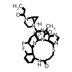 C=CC(=O)N1CCN(c2nc(=O)n3c4nc(c(F)cc24)-c2c(F)cccc2NC(=O)CCSc2ncnc(C(C)C)c2-3)[C@@H]2CC21